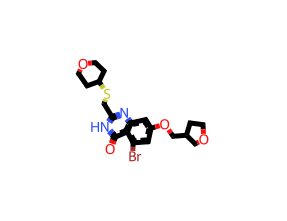 O=c1[nH]c(CSC2CCOCC2)nc2cc(OCC3CCOC3)cc(Br)c12